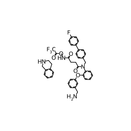 NCc1cccc(Oc2ccccc2N(Cc2ccc(-c3ccc(F)cc3)cc2)C(=O)CCC(=O)NOC(=O)C(F)(F)F)c1.c1ccc2c(c1)CCNC2